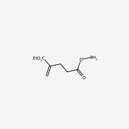 BOC(=O)CCC(=C)C(=O)OCC